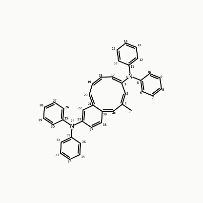 Cc1cc(N(c2ccccc2)c2ccccc2)ccccc2cc(N(c3ccccc3)c3ccccc3)ccc2c1